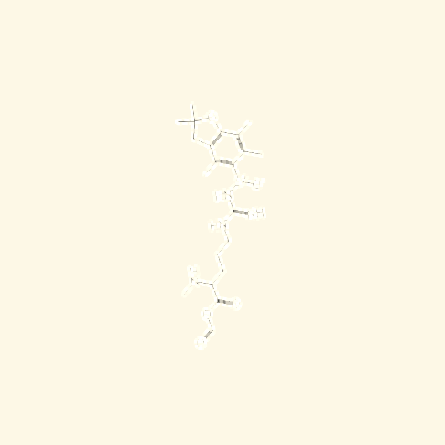 CNC(CCCNC(=N)N[S+]([O-])c1c(C)c(C)c2c(c1C)CC(C)(C)O2)C(=O)OC=O